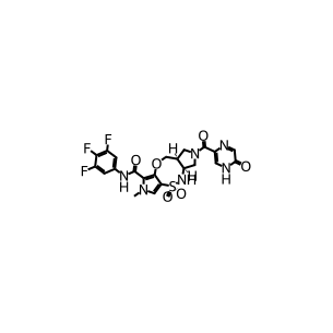 Cn1cc2c(c1C(=O)Nc1cc(F)c(F)c(F)c1)OC[C@H]1CN(C(=O)c3c[nH]c(=O)cn3)C[C@H]1NS2(=O)=O